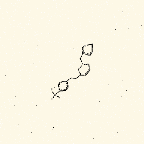 FC(F)(F)c1ccc(CCC2C=CCN(Cc3ccccc3)C2)cc1